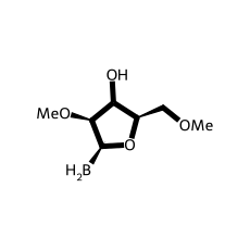 B[C@@H]1O[C@H](COC)C(O)[C@@H]1OC